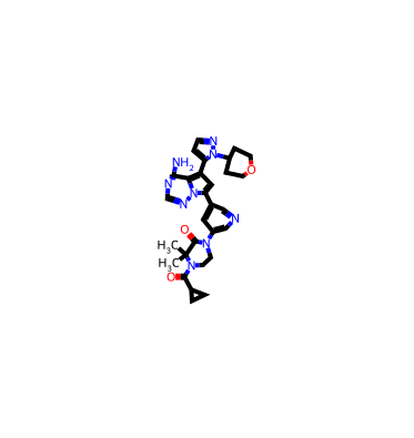 CC1(C)C(=O)N(c2cncc(-c3cc(-c4ccnn4C4CCOCC4)c4c(N)ncnn34)c2)CCN1C(=O)C1CC1